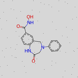 O=C1CN(c2ccccc2)Cc2cc(C(=O)NO)ccc2N1